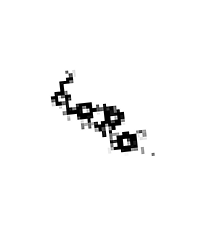 Cc1cc(F)c(Nc2ccnc3c2C(=O)Nc2cc(C(=O)N4CCC(CCO)C4)ccc2N3)cc1O